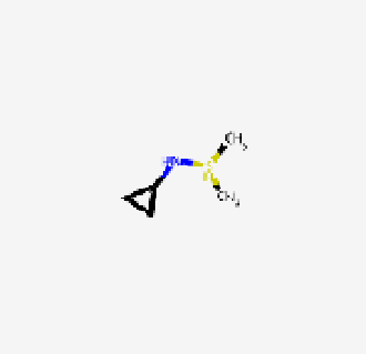 C[SH](C)NC1CC1